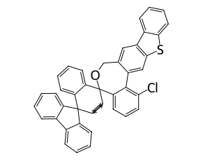 Clc1cccc2c1-c1cc3sc4ccccc4c3cc1COC21c2ccccc2C2(c3ccccc3-c3ccccc32)c2ccccc21